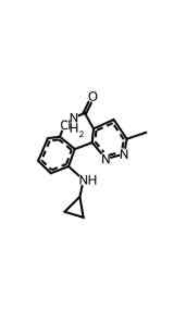 Cc1cc(C(N)=O)c(-c2c(Cl)cccc2NC2CC2)nn1